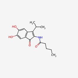 CCCCC(=O)NC1=C(C(C)C)c2cc(O)c(O)cc2C1=O